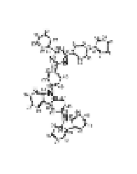 c1ccc(-c2ccc(-c3nc(-c4ccccc4)nc(-c4ccc(-n5c6ccccc6c6cc(-n7c8ccccc8c8ccccc87)ccc65)cc4)n3)cc2)cc1